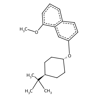 COc1cccc2ccc(O[C@H]3CC[C@H](C(C)(C)C)CC3)cc12